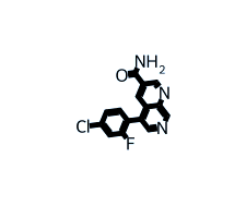 NC(=O)c1cnc2cncc(-c3ccc(Cl)cc3F)c2c1